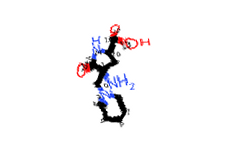 NC1(C[n+]2ccccc2)CC(C(=O)O)NC1=O